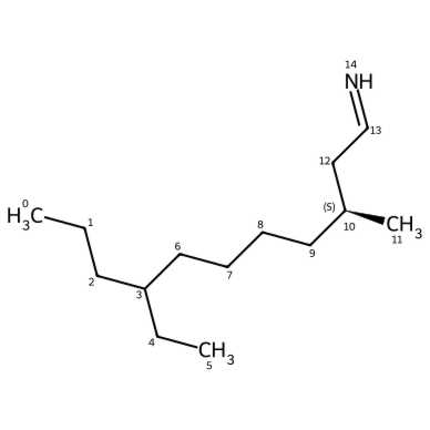 CCCC(CC)CCCC[C@H](C)CC=N